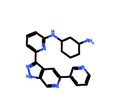 NC1CCCC(Nc2cccc(-c3n[nH]c4cnc(-c5cccnc5)cc34)n2)C1